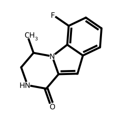 CC1CNC(=O)c2cc3cccc(F)c3n21